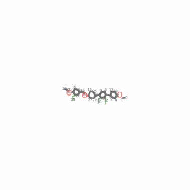 CCOc1ccc(-c2ccc(C3CCC(OCc4ccc(OCC)c(F)c4)CC3)c(F)c2F)cc1